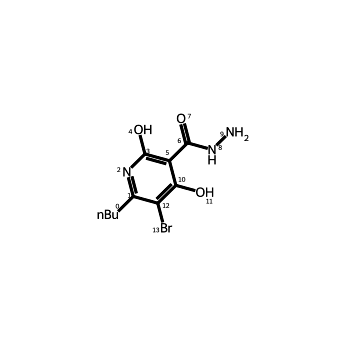 CCCCc1nc(O)c(C(=O)NN)c(O)c1Br